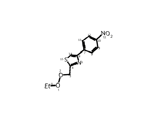 CCOOCc1nc(-c2ccc([N+](=O)[O-])cc2)cs1